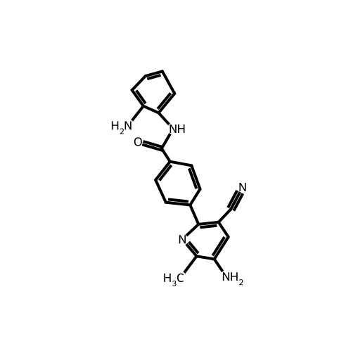 Cc1nc(-c2ccc(C(=O)Nc3ccccc3N)cc2)c(C#N)cc1N